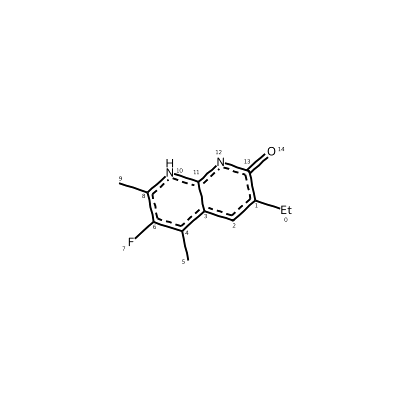 CCc1cc2c(C)c(F)c(C)[nH]c-2nc1=O